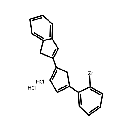 Cl.Cl.[Zr][c]1ccccc1C1=CC=C(C2=Cc3ccccc3C2)C1